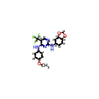 COc1ccc(Nc2nc(Nc3ccc4c(c3)OCO4)ncc2C(F)(F)F)cc1